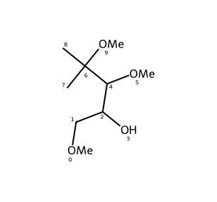 COCC(O)C(OC)C(C)(C)OC